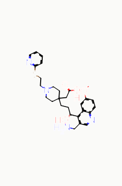 COc1ccc2ncc(CN)c([C@H](O)CCC3(CC(=O)O)CCN(CCSc4ccccn4)CC3)c2c1